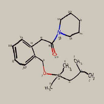 CC(C)C[Si](C)(C)OCc1ccccc1CC(=O)N1CCCCC1